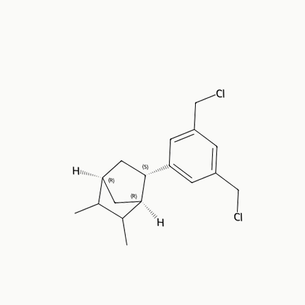 CC1C(C)[C@H]2C[C@@H]1C[C@@H]2c1cc(CCl)cc(CCl)c1